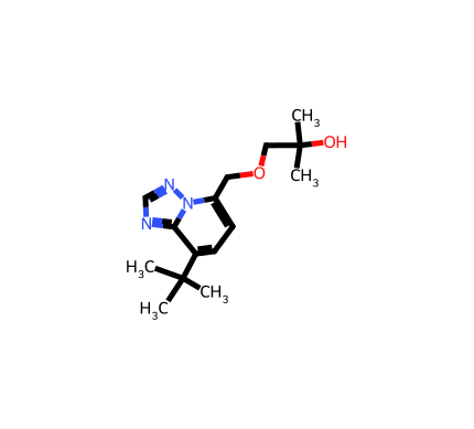 CC(C)(O)COCc1ccc(C(C)(C)C)c2ncnn12